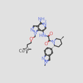 C[C@H]1CC[C@H](c2ccc3nn(C)cc3c2)N(C(=O)C(=O)Nc2cnc(N)c3cnn(COCC[Si](C)(C)C)c23)C1.[Cu]